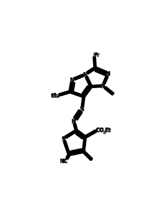 CCOC(=O)c1c(/N=N/c2c(C(C)(C)C)nn3c(C(C)C)nn(C)c23)sc(C#N)c1C